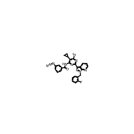 [3H]c1nc(-c2nn(Cc3ccccc3F)c3ncccc23)nc(NC(=O)c2cccc(N=[N+]=[N-])c2)c1C1CC1